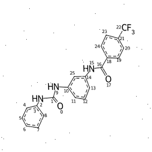 O=C(Nc1ccccc1)Nc1cccc(NC(=O)c2ccc(C(F)(F)F)cc2)c1